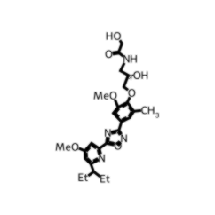 CCC(CC)c1cc(OC)cc(-c2nc(-c3cc(C)c(OC[C@@H](O)CNC(=O)CO)c(OC)c3)no2)n1